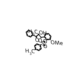 COc1cccc(C(OS(=O)(=O)c2ccc(C)cc2)C(C)(O)C(=O)c2ccccc2)c1